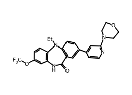 CCN1c2ccc(OC(F)(F)F)cc2NC(=O)c2cc(-c3ccnc(N4CCOCC4)c3)ccc21